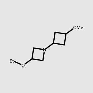 CCOC1CN(C2CC(OC)C2)C1